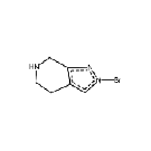 Brn1cc2c(n1)CNCC2